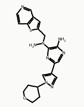 Nc1ncc(-c2cnn(C3CCOCC3)c2)nc1N(N)Cc1cc2cnccc2s1